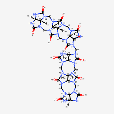 O=C1N[C@H]2NC(=O)N3CN4C(=O)N5CN6C(=O)N(CN7C(=O)N8CN9C(=O)N%10CN%11C(=O)N[C@H]%12NC(=O)N(CN%13C(=O)N(CN%14C(=O)N[C@@H]7[C@H]%148)[C@@H]9[C@H]%13%10)[C@H]%12%11)[C@H]7NC(=O)N(CN8C(=O)N(CN1[C@@H]23)[C@@H]4[C@H]85)[C@H]76